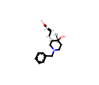 CC[C@@]1(O)CCN(Cc2ccccc2)C[C@@H]1CC=C=O